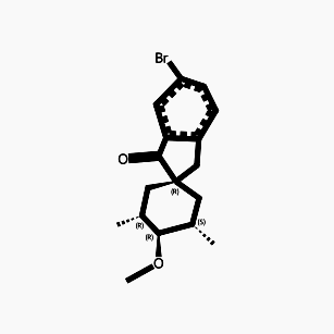 CO[C@H]1[C@H](C)C[C@@]2(Cc3ccc(Br)cc3C2=O)C[C@@H]1C